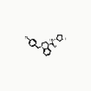 O=C(N[C@@H]1CCNC1)N1CCN(Cc2ccc(Cl)cc2)c2ccccc21